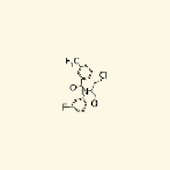 O=C(c1cccc(C(F)(F)F)c1)N1c2cc(F)ccc2OCC1CCCl